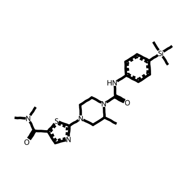 CC1CN(c2ncc(C(=O)N(C)C)s2)CCN1C(=O)Nc1ccc([Si](C)(C)C)cc1